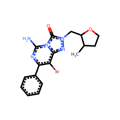 CC1CCOC1Cn1nc2c(Br)c(-c3ccccc3)nc(N)n2c1=O